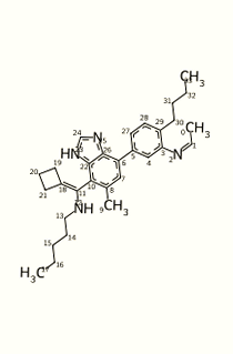 C/C=N\c1cc(-c2cc(C)c(C(NCCCCC)=C3CCC3)c3[nH]cnc23)ccc1CCCC